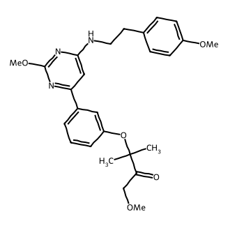 COCC(=O)C(C)(C)Oc1cccc(-c2cc(NCCc3ccc(OC)cc3)nc(OC)n2)c1